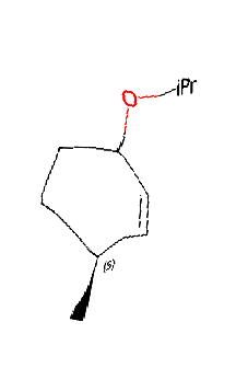 CC(C)OC1C=C[C@@H](C)CC1